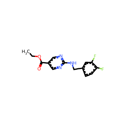 CCOC(=O)c1cnc(NCc2ccc(F)c(F)c2)nc1